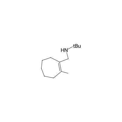 CC1=C(CNC(C)(C)C)CCCCC1